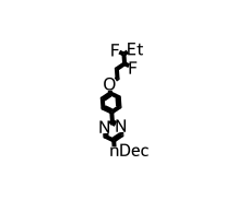 CCCCCCCCCCc1cnc(-c2ccc(OCCC(F)C(F)CC)cc2)nc1